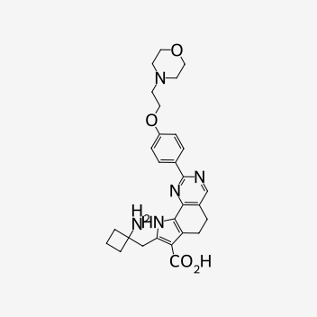 NC1(Cc2[nH]c3c(c2C(=O)O)CCc2cnc(-c4ccc(OCCN5CCOCC5)cc4)nc2-3)CCC1